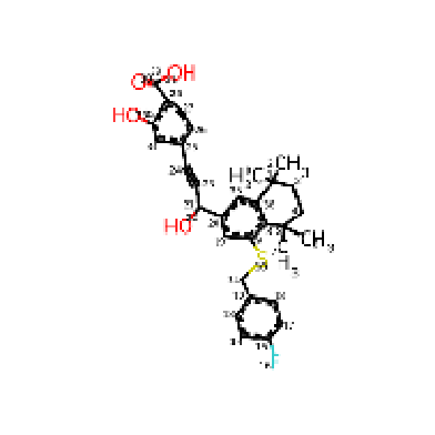 CC1(C)CCC(C)(C)c2c(SCc3ccc(F)cc3)cc(C(O)C#Cc3ccc(C(=O)O)c(O)c3)cc21